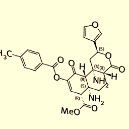 COC(=O)[C@@H]1C=C(OC(=O)c2ccc(C)cc2)C(=O)[C@H]2[C@@]1(N)CC[C@H]1C(=O)O[C@H](c3ccoc3)C[C@]21N